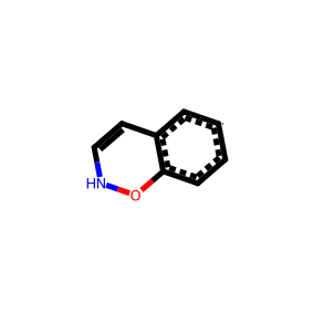 [c]1ccc2c(c1)C=CNO2